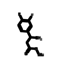 CCCCOC(=O)CC(N)c1ccc(F)c(F)c1